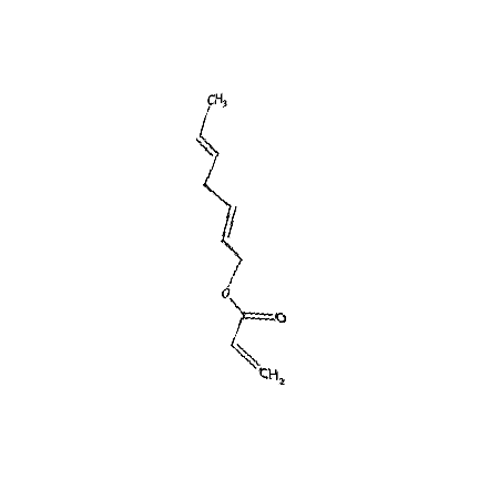 C=CC(=O)OCC=CCC=CC